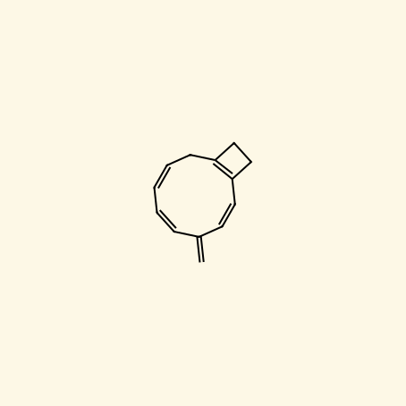 C=C1/C=C\C=C/CC2=C(/C=C\1)CC2